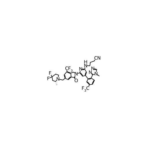 C[C@@H]1CC(F)(F)CCN1Cc1cc2c(c(C(F)(F)F)c1)CN(c1cc(-c3cc(C(F)(F)F)ccc3-c3nncn3C)cc(NCCCC#N)n1)C2=O